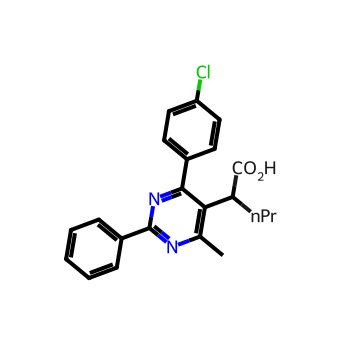 CCCC(C(=O)O)c1c(C)nc(-c2ccccc2)nc1-c1ccc(Cl)cc1